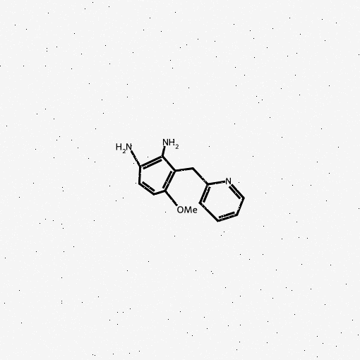 COc1ccc(N)c(N)c1Cc1ccccn1